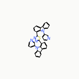 c1cncc(-n2c3ccccc3c3cccc(-c4nnc(-c5cccc6c7ccccc7n(-c7cccnc7)c56)s4)c32)c1